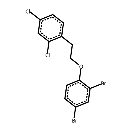 Clc1ccc(CCOc2ccc(Br)cc2Br)c(Cl)c1